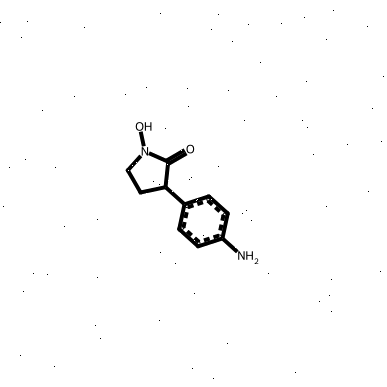 Nc1ccc(C2CCN(O)C2=O)cc1